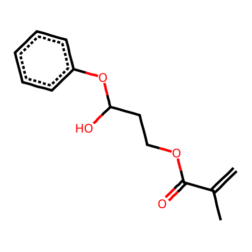 C=C(C)C(=O)OCCC(O)Oc1ccccc1